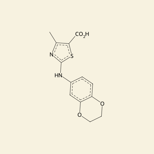 Cc1nc(Nc2ccc3c(c2)OCCO3)sc1C(=O)O